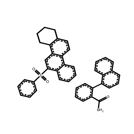 NC(=O)c1ccccc1-c1cccc2ccccc12.O=S(=O)(c1ccccc1)c1cc2c3c(ccc2c2ccccc12)CCCC3